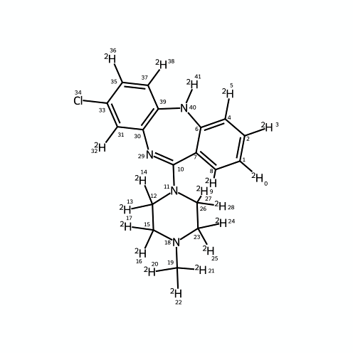 [2H]c1c([2H])c([2H])c2c(c1[2H])C(N1C([2H])([2H])C([2H])([2H])N(C([2H])([2H])[2H])C([2H])([2H])C1([2H])[2H])=Nc1c([2H])c(Cl)c([2H])c([2H])c1N2[2H]